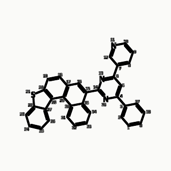 c1ccc(-c2cc(-c3cccnc3)nc(-c3cc4ccc5sc6ccccc6c5c4c4ccccc34)n2)cc1